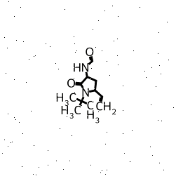 C=CC1CC(NC=O)C(=O)N1C(C)(C)C